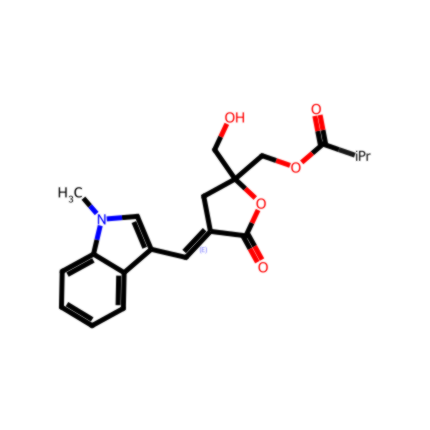 CC(C)C(=O)OCC1(CO)C/C(=C\c2cn(C)c3ccccc23)C(=O)O1